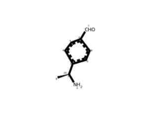 C[C@H](N)c1ccc(C=O)cc1